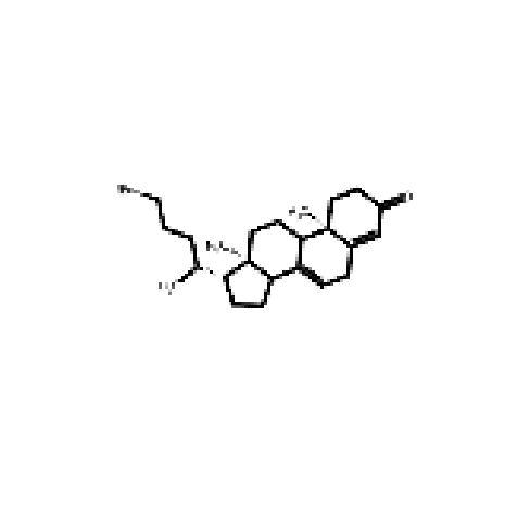 CC[C@H](C)CCCC(C)[C@H]1CCC2C3=CCC4=CC(=O)CC[C@]4(C)C3CC[C@@]21C